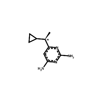 C[C@@H](c1cc(N)nc(N)n1)C1CC1